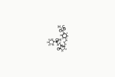 COC(=O)c1ccc(CCC[C@@H]2CCC(=O)N2CC[C@H](O)C2CCCCC2)cc1